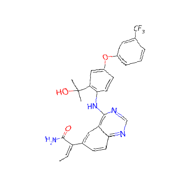 CC=C(C(N)=O)c1ccc2ncnc(Nc3ccc(Oc4cccc(C(F)(F)F)c4)cc3C(C)(C)O)c2c1